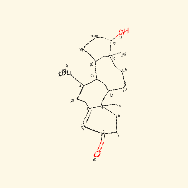 CC(C)(C)C1CC2=CC(=O)CCC2(C)C2CCC3(C)C(O)CCC3C12